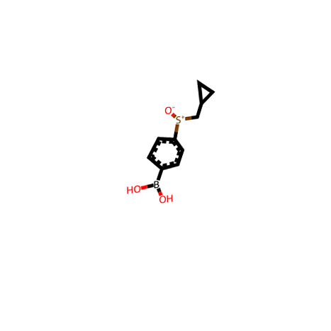 [O-][S+](CC1CC1)c1ccc(B(O)O)cc1